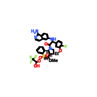 CCOc1cc(C(Nc2ccc3c(N)nccc3c2)C(=O)N2CC[C@@H](C(=O)OC)[C@H]2c2ccccc2S(=O)(=O)C(C)C)ccc1F.O=C(O)C(F)(F)F